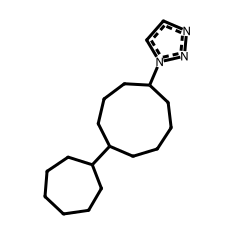 c1cn(C2CCCCC(C3CCCCCC3)CCC2)nn1